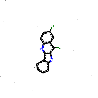 Clc1ccc2[nH]c3c4ccccc4nc-3c(Cl)c2c1